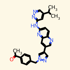 CC(=O)c1ccc(Cn2cc(-c3cnc4ccc(Nc5cc(C(C)C)cnn5)nc4c3)cn2)cc1